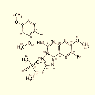 COc1ccc(CNc2nc3cc(OC)c(F)cc3c3nc(C[C@H](C)S(C)(=O)=O)nn23)c(OC)c1